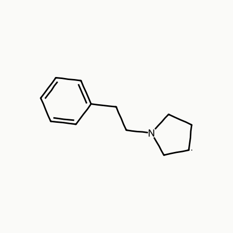 [CH]1CCN(CCc2ccccc2)C1